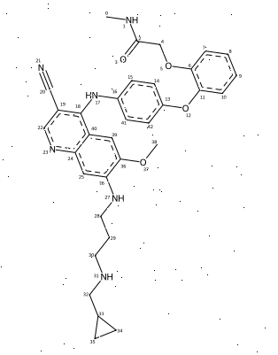 CNC(=O)COc1ccccc1Oc1ccc(Nc2c(C#N)cnc3cc(NCCCNCC4CC4)c(OC)cc23)cc1